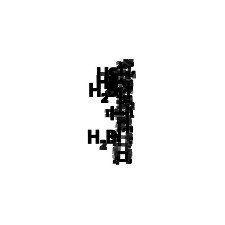 BC12C3C4CCC4C3C1C1C3C4C5C6C(C5C4(I)C3C12)C1(B)C6C2C3CCC3(S)C21S